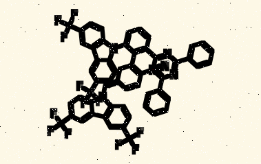 N#CC1=C(c2c(-c3nc(-c4ccccc4)nc(-c4ccccc4)n3)cccc2-n2c3ccc(C(F)(F)F)cc3c3cc(C(F)(F)F)ccc32)C/C(=C/n2c3ccc(C(F)(F)F)cc3c3cc(C(F)(F)F)ccc32)C=C1